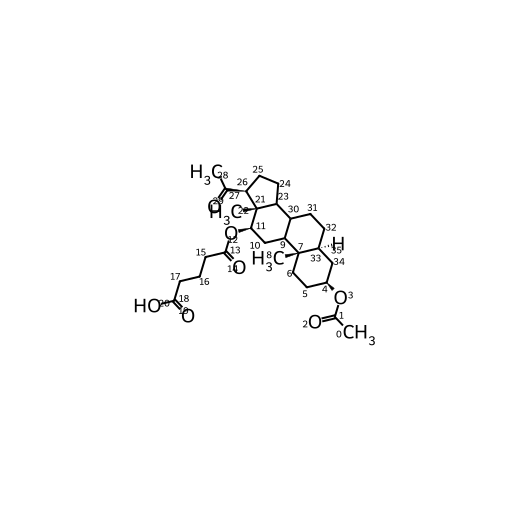 CC(=O)O[C@H]1CC[C@]2(C)C3C[C@@H](OC(=O)CCCC(=O)O)[C@@]4(C)C(CC[C@@H]4C(C)=O)C3CC[C@H]2C1